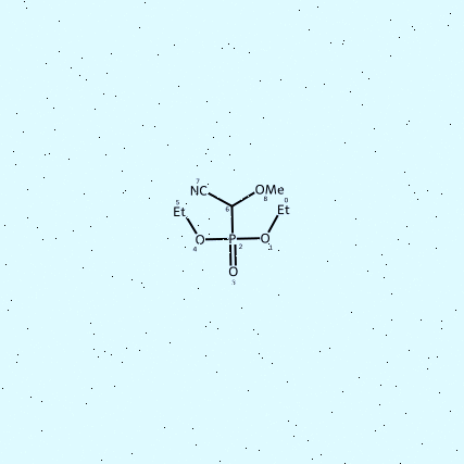 CCOP(=O)(OCC)C(C#N)OC